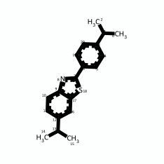 CC(C)c1ccc(-c2nc3ccc(C(C)C)cc3s2)cc1